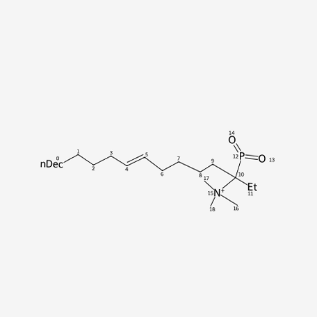 CCCCCCCCCCCCCC=CCCCCC(CC)(P(=O)=O)[N+](C)(C)C